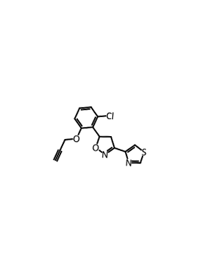 C#CCOc1cccc(Cl)c1C1CC(c2cscn2)=NO1